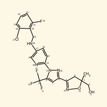 CC1(CO)CC(c2cc(C(F)(F)F)n(-c3ccc(NCc4c(F)cccc4Cl)cn3)n2)=NO1